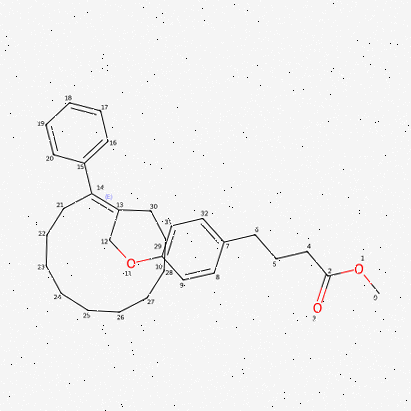 COC(=O)CCCc1ccc(OC/C2=C(/c3ccccc3)CCCCCCCCCC2)cc1